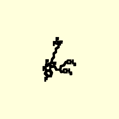 CCCCC(CC)CCP(c1ccc(F)cc1F)C(F)(F)C(F)CCCCCCC(F)(F)F